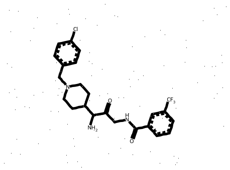 NC(C(=O)CNC(=O)c1cccc(C(F)(F)F)c1)C1CCN(Cc2ccc(Cl)cc2)CC1